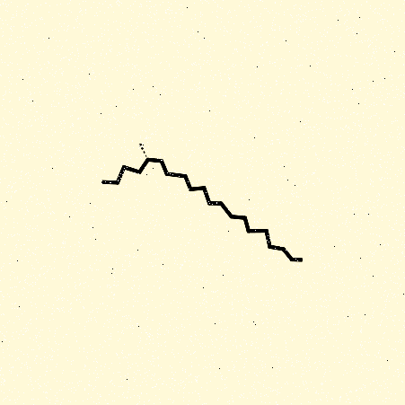 CCCCCCCCCCCCCCC[C@@H](C)CCCC